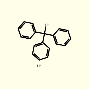 [Li+].[O-]C(c1ccccc1)(c1ccccc1)c1ccccc1